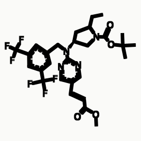 CCC1C[C@H](N(Cc2cc(C(F)(F)F)cc(C(F)(F)F)c2)c2ncc(/C=C/C(=O)OC)cn2)CN1C(=O)OC(C)(C)C